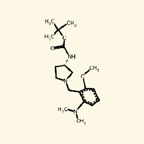 COc1cccc(N(C)C)c1CN1CC[C@H](NC(=O)OC(C)(C)C)C1